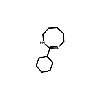 C1CC/N=C(/C2CCCCC2)NCC1